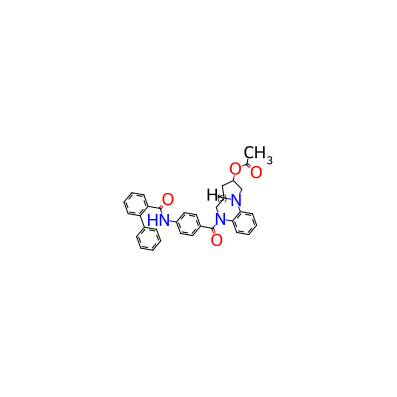 CC(=O)OC1C[C@H]2CN(C(=O)c3ccc(NC(=O)c4ccccc4-c4ccccc4)cc3)c3ccccc3N2C1